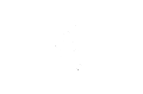 CC(C)Nc1c(C(=O)NCC2(CO)CC2)cnc2ccc(-c3cn[nH]c3)cc12